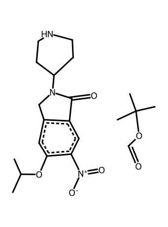 CC(C)(C)OC=O.CC(C)Oc1cc2c(cc1[N+](=O)[O-])C(=O)N(C1CCNCC1)C2